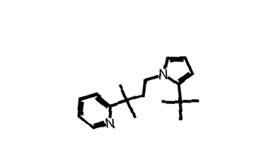 CC(C)(C)c1cccn1CCC(C)(C)c1ccccn1